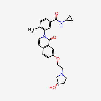 Cc1ccc(C(=O)NC2CC2)cc1-n1ccc2ccc(OCCN3CC[C@@H](O)C3)cc2c1=O